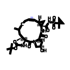 CC1CC/C=C\[C@@H]2C[C@@]2(C(=O)NS(=O)(=O)C2(C)CC2)NC(=O)[C@@H]2C[C@@H](O)CN2C(=O)[C@@H](NC(=O)OC(C)(C)C)[C@H](C)C1